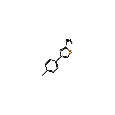 Bc1cc(-c2ccc(C)cc2)cs1